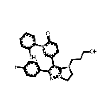 Cc1ccccc1-n1nc(-c2c(-c3ccc(F)cc3)nn3c2N(CCCO)CC3)ccc1=O